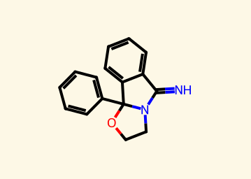 N=C1c2ccccc2C2(c3ccccc3)OCCN12